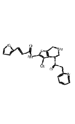 N#Cc1c(NC(=O)C=Cc2ccco2)sc2c1C(C(=O)Cc1ccccn1)CNC2